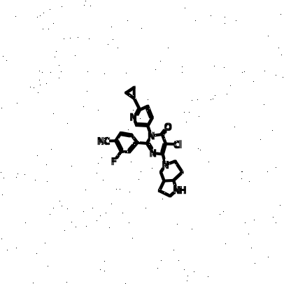 N#Cc1ccc(-c2nc(N3CCC4NCCC4C3)c(Cl)c(=O)n2-c2ccc(C3CC3)nc2)cc1F